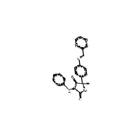 CC1(c2ccc(OCc3cnccn3)cc2)OC(=O)N(Nc2ccccc2)C1=O